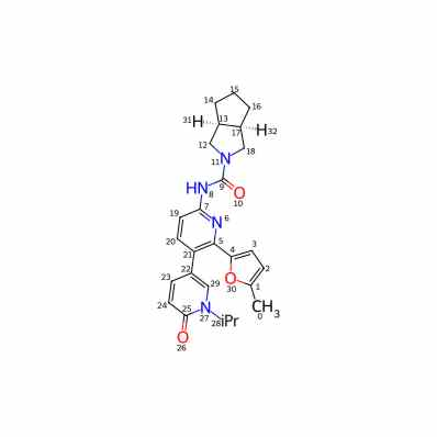 Cc1ccc(-c2nc(NC(=O)N3C[C@H]4CCC[C@H]4C3)ccc2-c2ccc(=O)n(C(C)C)c2)o1